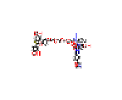 CC(C)(C)[C@H](NC(=O)COCCOCCOCCOc1ccc(Oc2c(-c3ccc(O)cc3)sc3cc(O)ccc23)cc1)C(=O)N1C[C@H](O)C[C@H]1C(=O)NCc1ccc(-c2cnco2)cc1